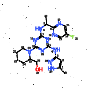 Cc1cc(Nc2nc(NC(C)c3ncc(F)cn3)nc(N3CCCCC3CO)n2)n[nH]1